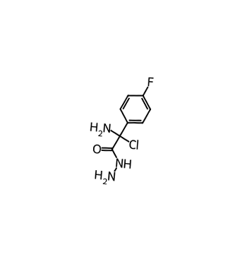 NNC(=O)C(N)(Cl)c1ccc(F)cc1